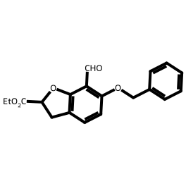 CCOC(=O)C1Cc2ccc(OCc3ccccc3)c(C=O)c2O1